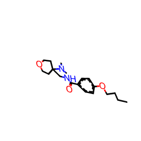 CCCCOc1ccc(C(=O)NCC2(N(C)C)CCOCC2)cc1